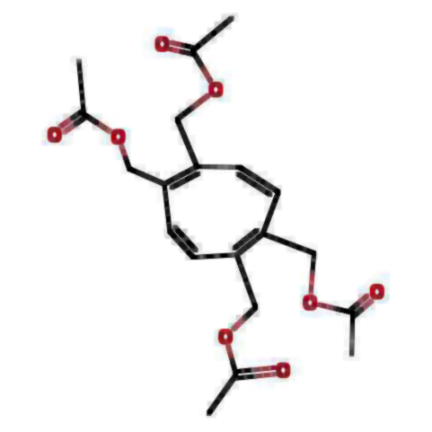 CC(=O)OCC1=C(COC(C)=O)C=CC(COC(C)=O)=C(COC(C)=O)C=C1